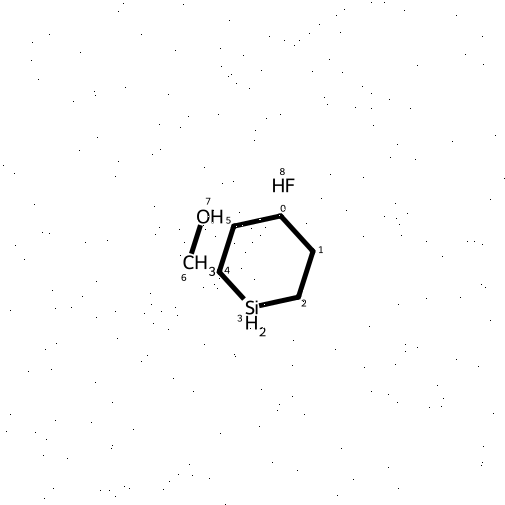 C1CC[SiH2]CC1.CO.F